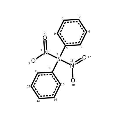 O=[N+]([O-])S(c1ccccc1)(c1ccccc1)[N+](=O)[O-]